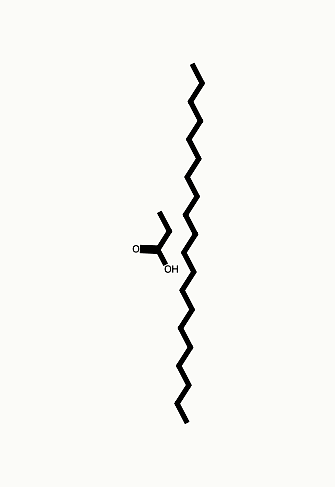 CCC(=O)O.CCCCCCCCCCCCCCCCCCCC